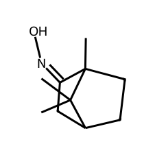 CC12CCC(CC1=NO)C2(C)C